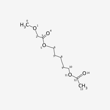 COCC(=O)OC[CH]CCCOC(C)=O